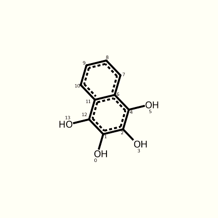 Oc1c(O)c(O)c2ccccc2c1O